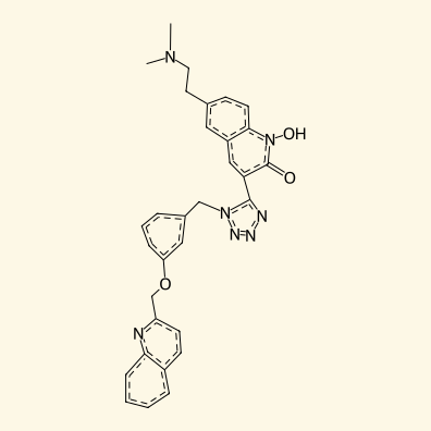 CN(C)CCc1ccc2c(c1)cc(-c1nnnn1Cc1cccc(OCc3ccc4ccccc4n3)c1)c(=O)n2O